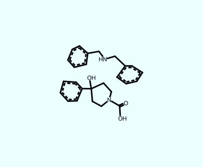 O=C(O)N1CCC(O)(c2ccccc2)CC1.c1ccc(CNCc2ccccc2)cc1